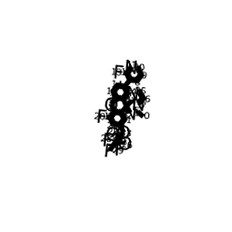 CC1=NC2(c3cc(-c4cccnc4F)ccc3Oc3c(F)cc(OS(=O)(=O)C(F)(F)F)cc32)c2nccn21